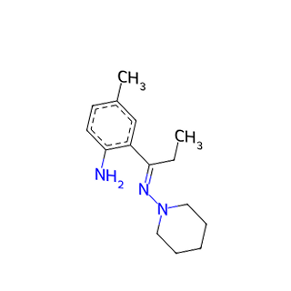 CC/C(=N\N1CCCCC1)c1cc(C)ccc1N